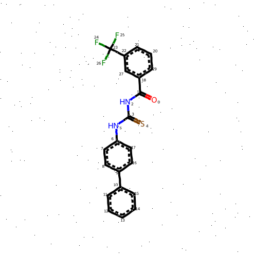 O=C(NC(=S)Nc1ccc(-c2ccccc2)cc1)c1cccc(C(F)(F)F)c1